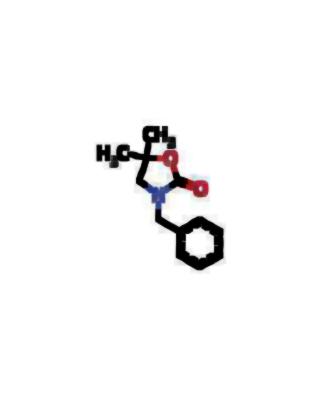 CC1(C)CN(Cc2ccccc2)C(=O)O1